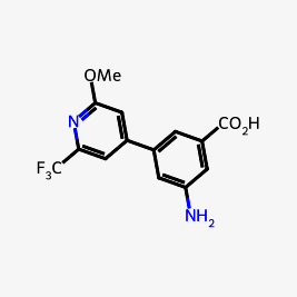 COc1cc(-c2cc(N)cc(C(=O)O)c2)cc(C(F)(F)F)n1